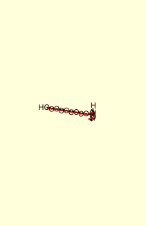 CC(C)[Si](C)(C)O[Si](C)(CCCOCCOCCOCCOCCOCCOCCOCCOCCO)O[SiH](C)C